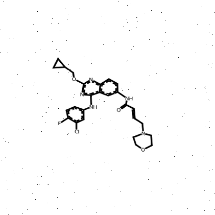 O=C(C=CCN1CCOCC1)Nc1ccc2nc(OCC3CC3)nc(Nc3ccc(F)c(Cl)c3)c2c1